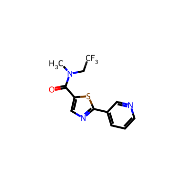 CN(CC(F)(F)F)C(=O)c1cnc(-c2cccnc2)s1